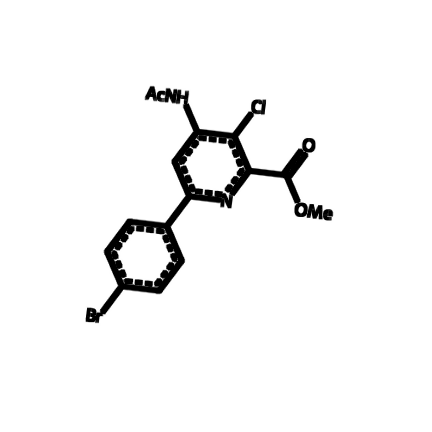 COC(=O)c1nc(-c2ccc(Br)cc2)cc(NC(C)=O)c1Cl